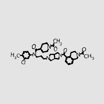 CC(=O)N1CCC(C(=O)N(CCCN2CC3CN(C(=O)c4cccc5c4CCN(C(C)=O)C5)CC3C2)c2ccc(C)c(Cl)c2)CC1